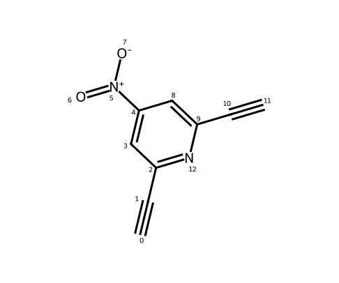 C#Cc1cc([N+](=O)[O-])cc(C#C)n1